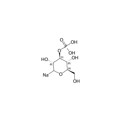 O=P(O)(O)O[C@H]1[C@H](O)[C@@H](CO)O[CH]([Na])[C@@H]1O